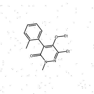 CCOc1c(CC)nn(C)c(=O)c1-c1ccccc1C